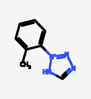 Cc1ccccc1-[n+]1nnc[nH]1